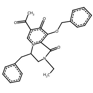 CCN1CC(Cc2ccccc2)n2cc(C(C)=O)c(=O)c(OCc3ccccc3)c2C1=O